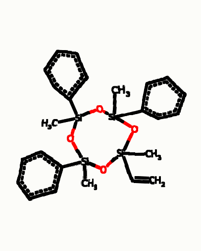 C=C[Si]1(C)O[Si](C)(c2ccccc2)O[Si](C)(c2ccccc2)O[Si](C)(c2ccccc2)O1